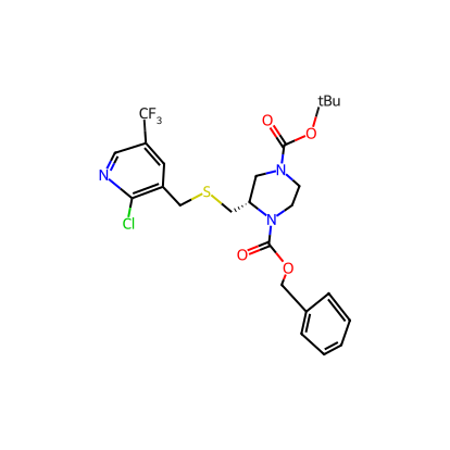 CC(C)(C)OC(=O)N1CCN(C(=O)OCc2ccccc2)[C@H](CSCc2cc(C(F)(F)F)cnc2Cl)C1